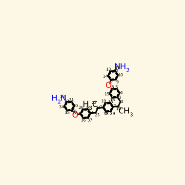 CC(Cc1ccc(Oc2ccc(N)cc2)cc1)c1ccc(C(C)Cc2ccc(Oc3ccc(N)cc3)cc2)cc1